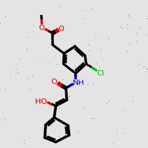 COC(=O)Cc1ccc(Cl)c(NC(=O)C=C(O)c2ccccc2)c1